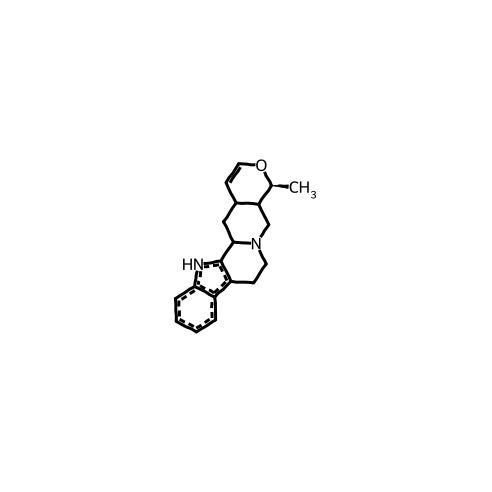 C[C@@H]1OC=CC2CC3c4[nH]c5ccccc5c4CCN3CC21